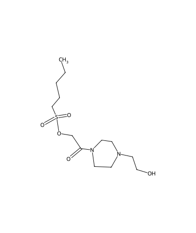 CCCCCS(=O)(=O)OCC(=O)N1CCN(CCO)CC1